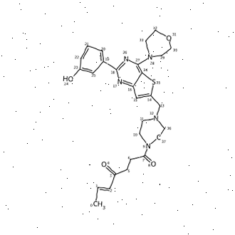 CC=CC(=O)CCC(=O)N1CCN(Cc2cc3nc(-c4cccc(O)c4)nc(N4CCOCC4)c3s2)CC1